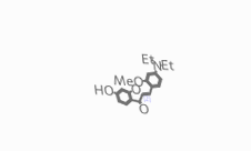 CCN(CC)c1ccc(/C=C2\Oc3cc(O)ccc3C2=O)c(OC)c1